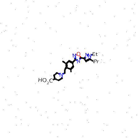 CCn1nc(-c2nc(-c3cc(C)c(CCN4CCC(C(=O)O)CC4)c(C)c3)no2)cc1C(C)C